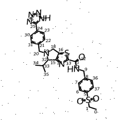 CCS(=O)(=O)c1ccc(CNC(=O)c2nc3c(s2)CN(Cc2ccc(-c4nnn[nH]4)cc2)C3C(C)C)cc1